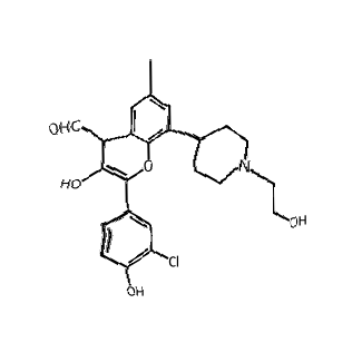 Cc1cc(C2CCN(CCO)CC2)c2c(c1)C(C=O)C(O)=C(c1ccc(O)c(Cl)c1)O2